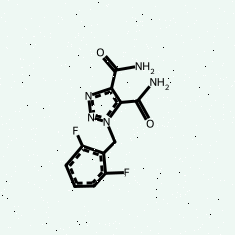 NC(=O)c1nnn(Cc2c(F)cccc2F)c1C(N)=O